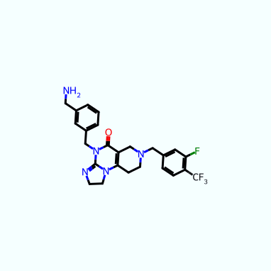 NCc1cccc(CN2C(=O)C3=C(CCN(Cc4ccc(C(F)(F)F)c(F)c4)C3)N3CCN=C23)c1